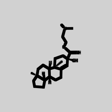 CN(C)CCOC(=N)[C@@]1(O)C=C2CC[C@H]3[C@@H]4CCC[C@@]4(C)CC[C@@H]3[C@@]2(C)CC1